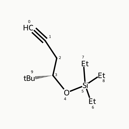 C#CC[C@H](O[Si](CC)(CC)CC)C(C)(C)C